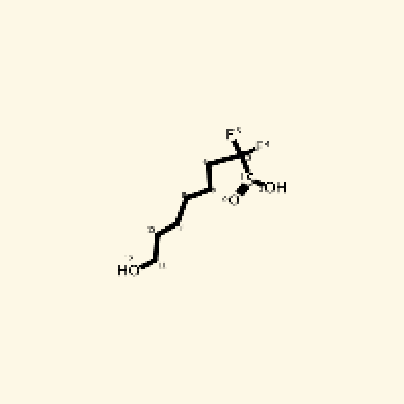 O=S(O)C(F)(F)CCCCCCO